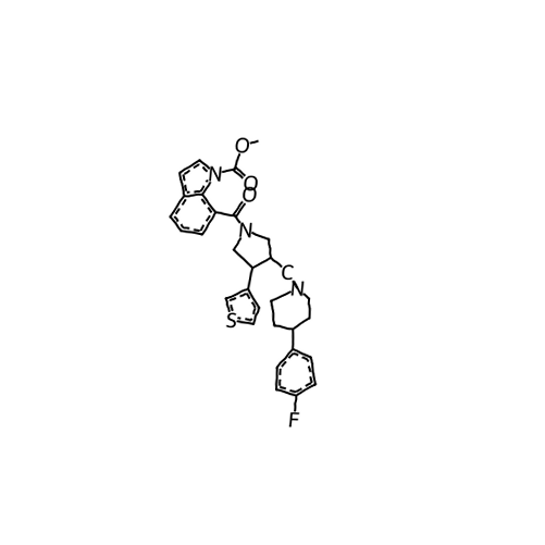 COC(=O)n1ccc2cccc(C(=O)N3CC(CN4CCC(c5ccc(F)cc5)CC4)C(c4ccsc4)C3)c21